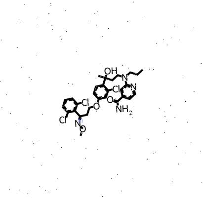 CCCN(CCC(C)(O)c1ccc(OCC/C(=N\OC)c2c(Cl)cccc2Cl)cc1Cl)c1cc(C(N)=O)ccn1